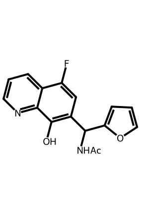 CC(=O)NC(c1ccco1)c1cc(F)c2cccnc2c1O